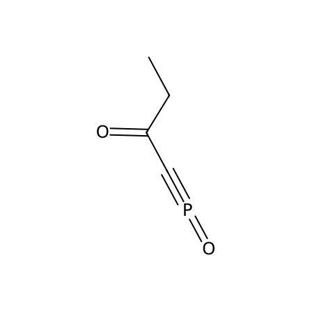 CCC(=O)C#P=O